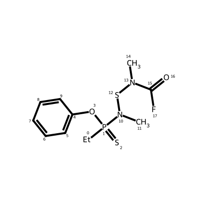 CCP(=S)(Oc1ccccc1)N(C)SN(C)C(=O)F